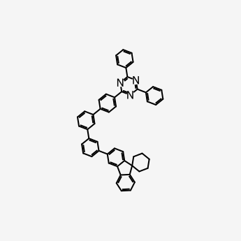 c1ccc(-c2nc(-c3ccccc3)nc(-c3ccc(-c4cccc(-c5cccc(-c6ccc7c(c6)-c6ccccc6C76CCCCC6)c5)c4)cc3)n2)cc1